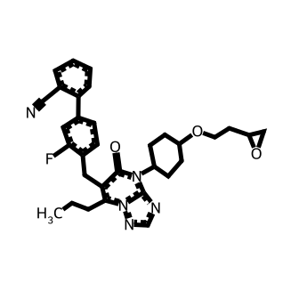 CCCc1c(Cc2ccc(-c3ccccc3C#N)cc2F)c(=O)n(C2CCC(OCCC3CO3)CC2)c2ncnn12